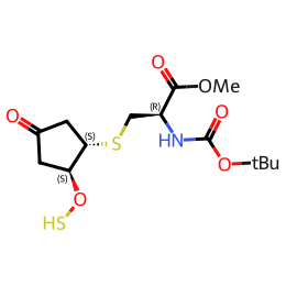 COC(=O)[C@H](CS[C@H]1CC(=O)C[C@@H]1OS)NC(=O)OC(C)(C)C